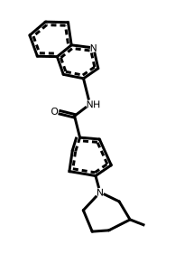 CC1CCCN(c2ccc(C(=O)Nc3cnc4ccccc4c3)cc2)C1